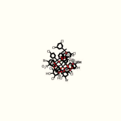 COc1c(O)cc(Cl)c(C(c2c(Cl)cc(O)c(OC)c2Cl)C(CC(C)(c2cc(Cl)c(O)c(Cl)c2)c2cc(Cl)c(O)c(Cl)c2)(C(C)CC(C)(c2ccc(O)c(Br)c2)c2ccc(O)c(Br)c2)C(c2c(Cl)cccc2Cl)(c2c(Cl)cccc2Cl)C(CCCCC(C)(c2cc(Cl)cc(Cl)c2)c2cc(Cl)cc(Cl)c2)(C(c2ccc(Br)c([N+](=O)[O-])c2)c2ccc(Br)c([N+](=O)[O-])c2)C(c2ccccc2)(c2ccc(Cl)cc2)c2ccc(Cl)cc2)c1Cl